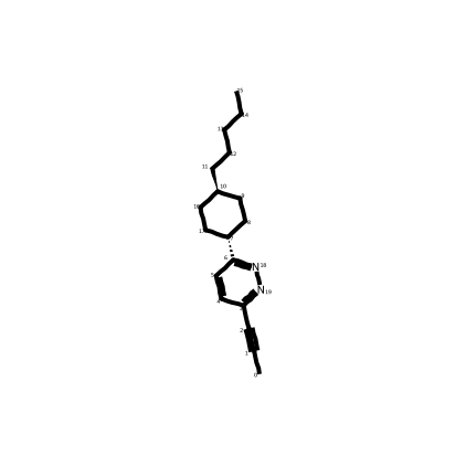 CC#Cc1ccc([C@H]2CC[C@H](CCCCC)CC2)nn1